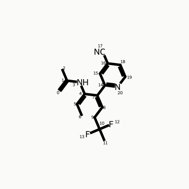 C=C(C)NC(=C/C)/C(=C\CC(C)(F)F)c1cc(C#N)ccn1